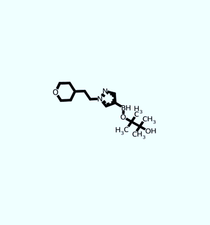 CC(C)(O)C(C)(C)OBc1cnn(CCC2CCOCC2)c1